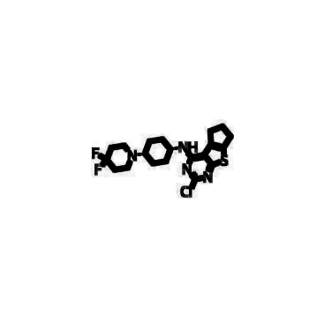 FC1(F)CCN([C@H]2CC[C@@H](Nc3nc(Cl)nc4sc5c(c34)CCC5)CC2)CC1